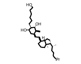 C=C1C(=CC=C2CCC[C@]3(C)[C@@H]([C@H](C)CCCC(C)C)CC[C@@H]23)C[C@@H](O)[C@@H](CCCCCCO)[C@@H]1O